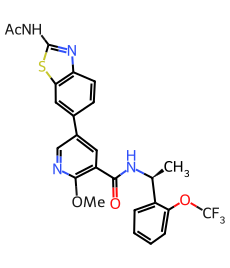 COc1ncc(-c2ccc3nc(NC(C)=O)sc3c2)cc1C(=O)N[C@@H](C)c1ccccc1OC(F)(F)F